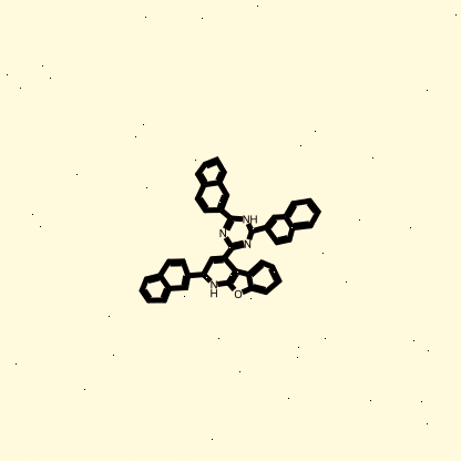 C1=C(C2=NC(c3ccc4ccccc4c3)NC(c3ccc4ccccc4c3)=N2)c2c(oc3ccccc23)NC1c1ccc2ccccc2c1